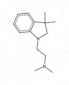 CN(C)CCN1[CH]C(C)(C)c2ccccc21